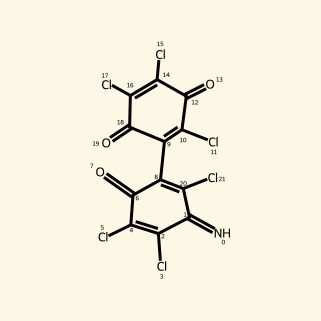 N=C1C(Cl)=C(Cl)C(=O)C(C2=C(Cl)C(=O)C(Cl)=C(Cl)C2=O)=C1Cl